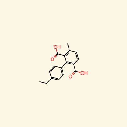 CCc1ccc(-c2c(C(=O)O)ccc(C)c2C(=O)O)cc1